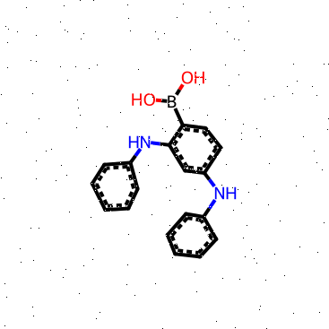 OB(O)c1ccc(Nc2ccccc2)cc1Nc1ccccc1